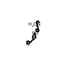 Cc1cccnc1CCc1ccc(OC(=O)N2CCN(CCCc3cccnc3)CC2)cc1